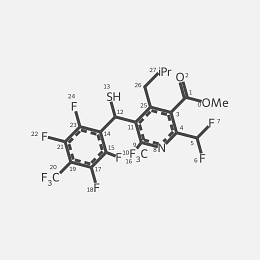 COC(=O)c1c(C(F)F)nc(C(F)(F)F)c(C(S)c2c(F)c(F)c(C(F)(F)F)c(F)c2F)c1CC(C)C